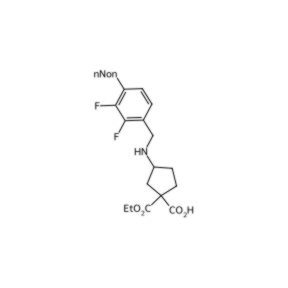 CCCCCCCCCc1ccc(CNC2CCC(C(=O)O)(C(=O)OCC)C2)c(F)c1F